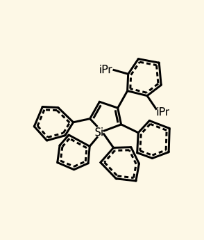 CC(C)c1cccc(C(C)C)c1C1=C(c2ccccc2)[Si](c2ccccc2)(c2ccccc2)C(c2ccccc2)=C1